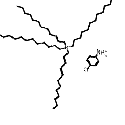 CCCCCCCCCCCC[B-](CCCCCCCCCCCC)(CCCCCCCCCCCC)CCCCCCCCCCCC.[NH3+]c1ccc(Cl)cc1